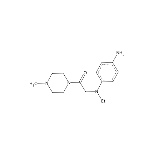 CCN(CC(=O)N1CCN(C)CC1)c1ccc(N)cc1